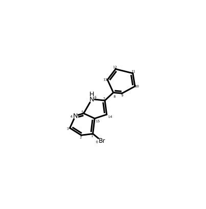 Brc1ccnc2[nH]c(-c3ccccc3)cc12